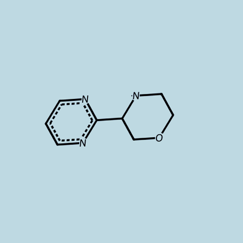 c1cnc(C2COCC[N]2)nc1